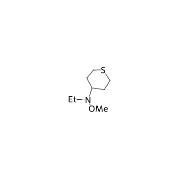 CCN(OC)C1CCSCC1